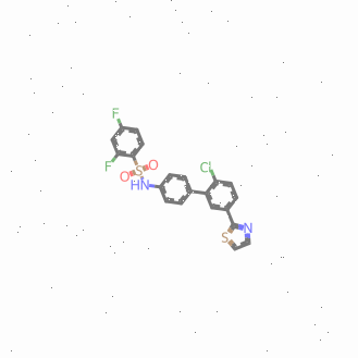 O=S(=O)(Nc1ccc(-c2cc(-c3nccs3)ccc2Cl)cc1)c1ccc(F)cc1F